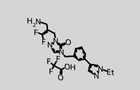 CCn1cc(-c2cccc(Cn3cnn(CC(CN)=C(F)F)c3=O)c2)cn1.O=C(O)C(F)(F)F